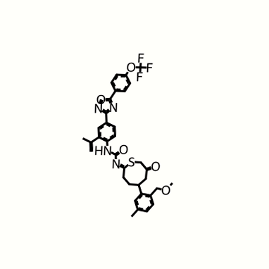 C=C(C)c1cc(-c2noc(-c3ccc(OC(F)(F)F)cc3)n2)ccc1NC(=O)/N=C1/CCC(c2cc(C)ccc2COC)CC(=O)CS1